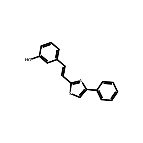 Oc1cccc(C=Cc2nc(-c3ccccc3)cs2)c1